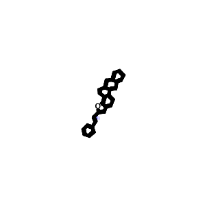 C(=C\c1cc2ccc3c4cc5ccccc5cc4ccc3c2o1)/c1ccccc1